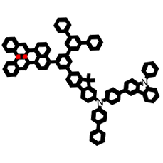 CC1(C)c2cc(-c3cc(-c4cc(-c5ccccc5)cc(-c5ccccc5)c4)cc(-c4ccc(-c5ccc6ccccc6c5)c5c(-c6ccc7ccccc7c6)cccc45)c3)ccc2-c2ccc(N(c3ccc(-c4ccccc4)cc3)c3ccc(-c4ccc5c(c4)c4ccccc4n5-c4ccccc4)cc3)cc21